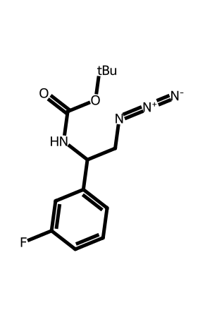 CC(C)(C)OC(=O)NC(CN=[N+]=[N-])c1cccc(F)c1